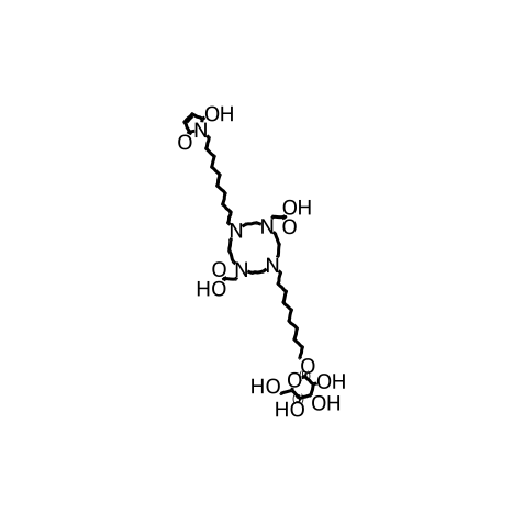 O=C(O)CN1CCCN(CCCCCCCCCCN2C(=O)C=CC2O)CCN(CC(=O)O)CCCN(CCCCCCCCCCO[C@@H]2OC(CO)[C@@H](O)C(O)C2O)CC1